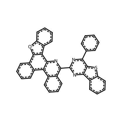 c1ccc(-c2nc(-c3nc4c(c5ccccc35)c3ccccc3c3oc5ccccc5c43)nc3c2sc2ccccc23)cc1